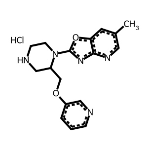 Cc1cnc2nc(N3CCNCC3COc3cccnc3)oc2c1.Cl